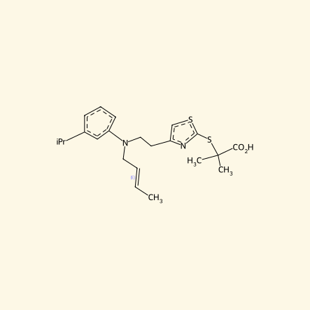 C/C=C/CN(CCc1csc(SC(C)(C)C(=O)O)n1)c1cccc(C(C)C)c1